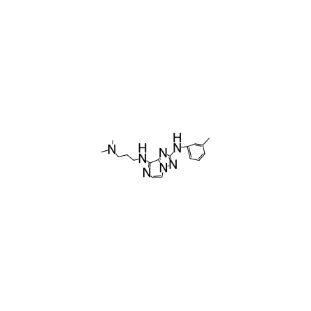 Cc1cccc(Nc2nc3c(NCCCN(C)C)nccn3n2)c1